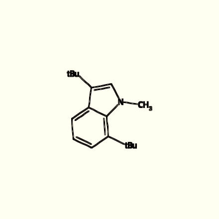 Cn1cc(C(C)(C)C)c2cccc(C(C)(C)C)c21